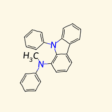 CN(c1ccccc1)c1cccc2c3ccccc3n(-c3ccccc3)c12